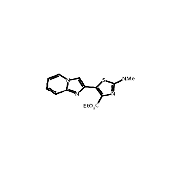 CCOC(=O)c1nc(NC)sc1-c1cn2ccccc2n1